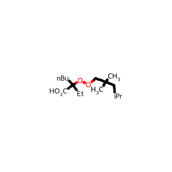 CCCCC(CC)(OOCC(C)(C)CC(C)C)C(=O)O